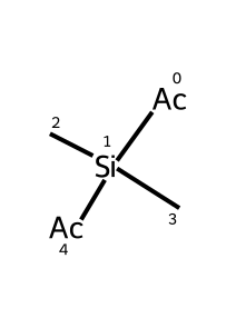 CC(=O)[Si](C)(C)C(C)=O